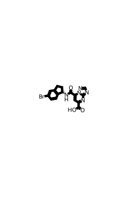 O=C(O)c1cc(C(=O)N[C@H]2CCc3cc(Br)ccc32)n2ncnc2n1